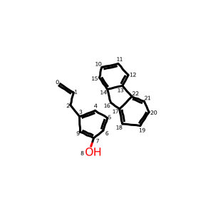 C=CCc1cccc(O)c1.c1ccc2c(c1)Cc1ccccc1-2